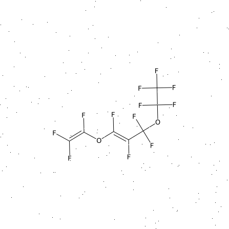 FC(F)=C(F)OC(F)=C(F)C(F)(F)OC(F)(F)C(F)(F)F